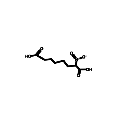 O=C(O)CCCCCC(C(=O)O)[N+](=O)[O-]